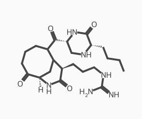 CCCC[C@@H]1NC[C@H](C(=O)C2CCCC(=O)[C@H]3CC2[C@@H](CCCNC(=N)N)C(=O)N3)NC1=O